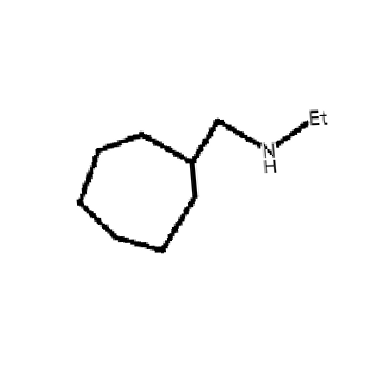 CCNCC1CCCCCC1